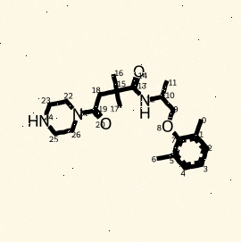 Cc1cccc(C)c1OCC(C)NC(=O)C(C)(C)CC(=O)N1CCNCC1